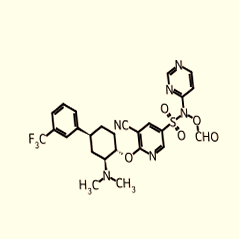 CN(C)[C@H]1C[C@@H](c2cccc(C(F)(F)F)c2)CC[C@@H]1Oc1ncc(S(=O)(=O)N(OC=O)c2ccncn2)cc1C#N